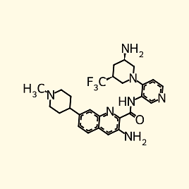 CN1CCC(c2ccc3cc(N)c(C(=O)Nc4cnccc4N4C[C@H](N)C[C@H](C(F)(F)F)C4)nc3c2)CC1